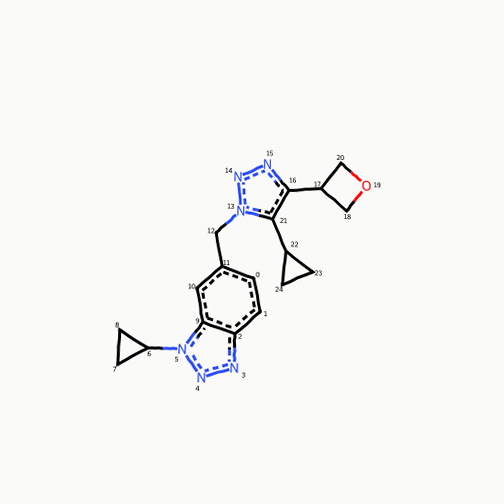 c1cc2nnn(C3CC3)c2cc1Cn1nnc(C2COC2)c1C1CC1